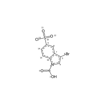 O=C(O)n1cc(Br)c2cc(S(=O)(=O)Cl)ccc21